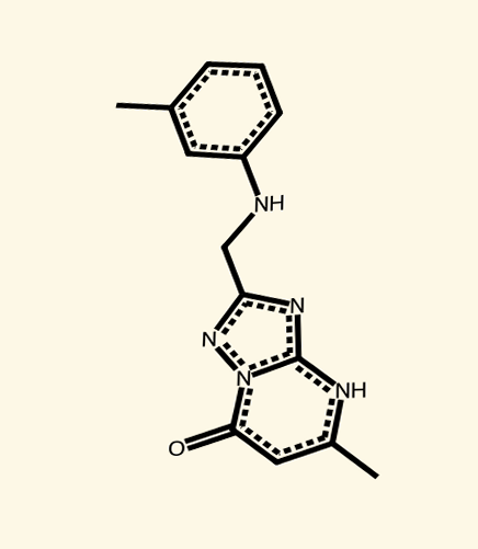 Cc1cccc(NCc2nc3[nH]c(C)cc(=O)n3n2)c1